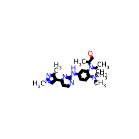 Cc1nn(C)cc1-c1ccnc(Nc2ccc(N(C)C)c(N(C(C)C)C(C)C=O)c2)n1